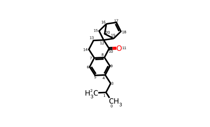 CC(C)Cc1ccc2c(c1)C(=O)C1(CC2)CC2C=CC1C2